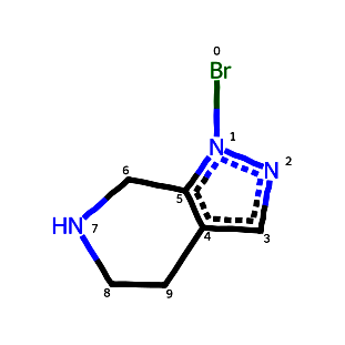 Brn1ncc2c1CNCC2